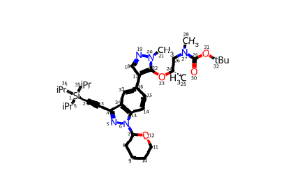 CC(C)[Si](C#Cc1nn(C2CCCCO2)c2ccc(-c3cnn(C)c3O[C@@H](C)CN(C)C(=O)OC(C)(C)C)cc12)(C(C)C)C(C)C